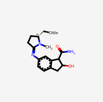 COC[C@H]1CCC(=Nc2ccc3c(c2)C(C(N)=O)C(O)C3)N1C